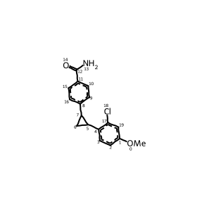 COc1ccc(C2CC2c2ccc(C(N)=O)cc2)c(Cl)c1